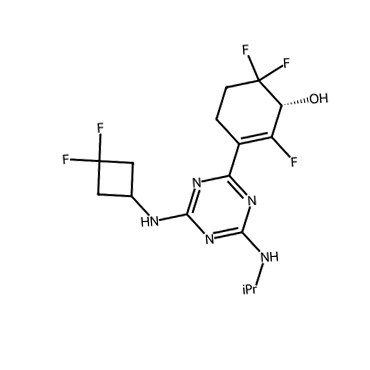 CC(C)Nc1nc(NC2CC(F)(F)C2)nc(C2=C(F)[C@@H](O)C(F)(F)CC2)n1